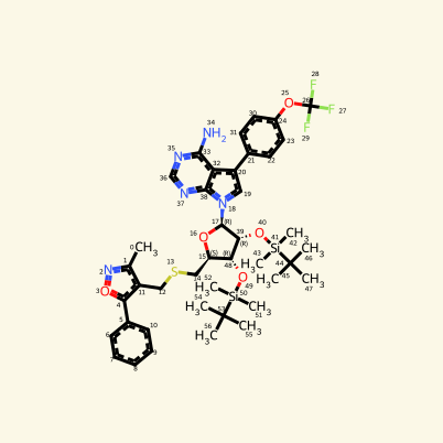 Cc1noc(-c2ccccc2)c1CSC[C@H]1O[C@@H](n2cc(-c3ccc(OC(F)(F)F)cc3)c3c(N)ncnc32)[C@H](O[Si](C)(C)C(C)(C)C)[C@@H]1O[Si](C)(C)C(C)(C)C